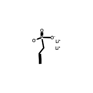 C=CCP(=O)([O-])[O-].[Li+].[Li+]